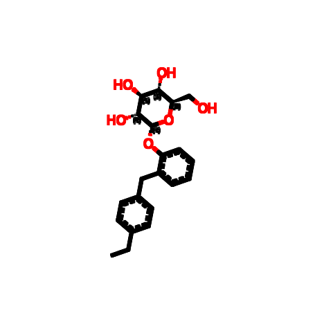 CCc1ccc(Cc2ccccc2O[C@H]2O[C@H](CO)[C@@H](O)[C@H](O)[C@H]2O)cc1